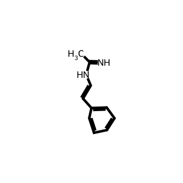 CC(=N)NC=Cc1ccccc1